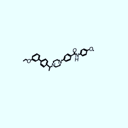 CCOc1cccc(-c2ccc(C(C)N3CCN(c4ccc(C(=O)Nc5ccc(OC)cc5)cc4)CC3)cc2)c1